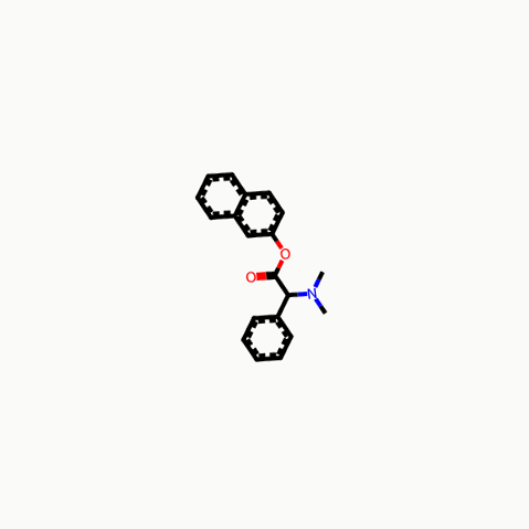 CN(C)C(C(=O)Oc1ccc2ccccc2c1)c1ccccc1